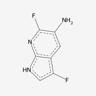 Nc1cc2c(F)c[nH]c2nc1F